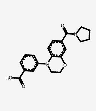 O=C(O)c1cccc(N2CCOc3cc(C(=O)N4CCCC4)ccc32)c1